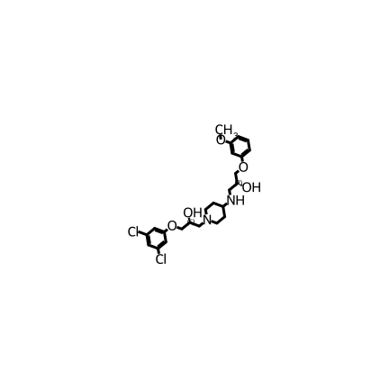 COc1cccc(OC[C@H](O)CNC2CCN(C[C@H](O)COc3cc(Cl)cc(Cl)c3)CC2)c1